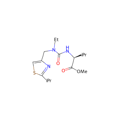 CCN(Cc1csc(C(C)C)n1)C(=O)N[C@H](C(=O)OC)C(C)C